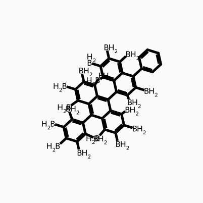 Bc1c(B)c(B)c(-c2c3c(B)c(B)c(B)c(B)c3c(-c3c(B)c(B)c(-c4ccccc4)c4c(B)c(B)c(B)c(B)c34)c3c(B)c(B)c(B)c(B)c23)c(B)c1B